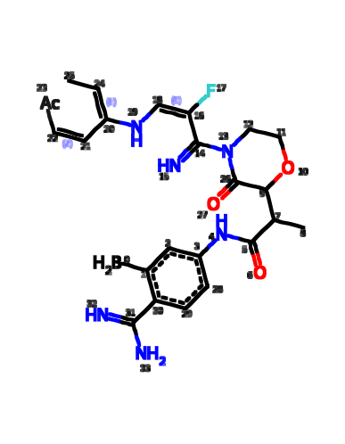 Bc1cc(NC(=O)C(C)C2OCCN(C(=N)/C(F)=C\NC(/C=C\C(C)=O)=C/C)C2=O)ccc1C(=N)N